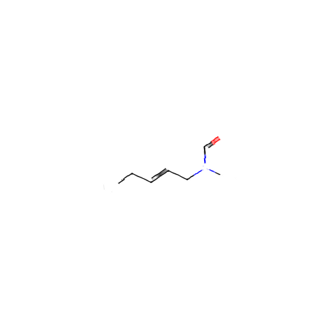 [CH2]CC=CCN(C)C=O